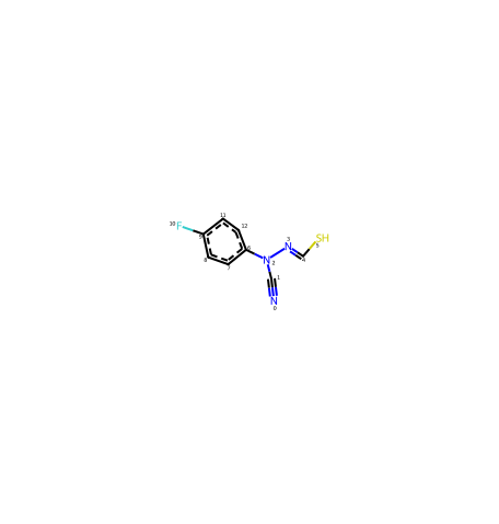 N#CN(N=CS)c1ccc(F)cc1